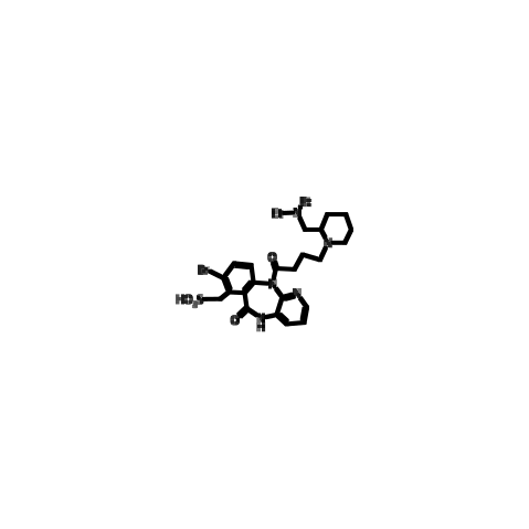 CCN(CC)CC1CCCCN1CCCC(=O)N1c2ccc(Br)c(CS(=O)(=O)O)c2C(=O)Nc2cccnc21